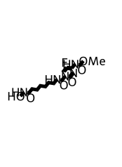 COC(=O)Nc1nc(=O)n(C(=O)NCCCCCCC(=O)NO)cc1F